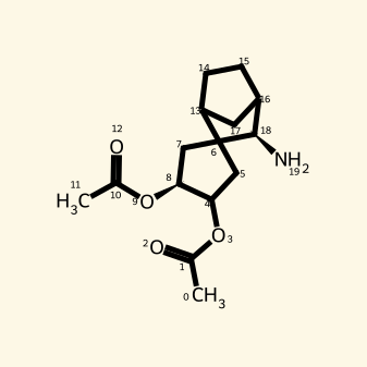 CC(=O)OC1CC2(C[C@@H]1OC(C)=O)C1CCC(C1)[C@H]2N